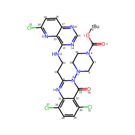 CC(C)(C)OC(=O)N1CCN(n2c(CCNc3ncnc4ccc(Cl)nc34)nc3c(Cl)ccc(Cl)c3c2=O)CC1